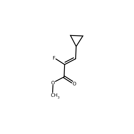 COC(=O)C(F)=CC1CC1